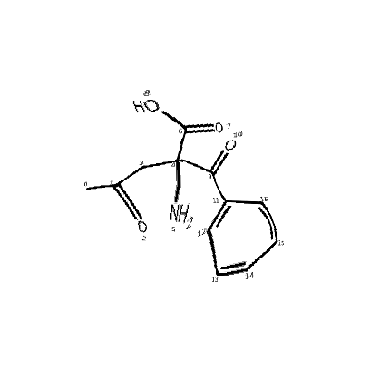 CC(=O)CC(N)(C(=O)O)C(=O)c1ccccc1